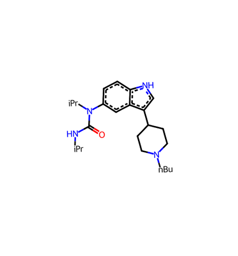 CCCCN1CCC(c2c[nH]c3ccc(N(C(=O)NC(C)C)C(C)C)cc23)CC1